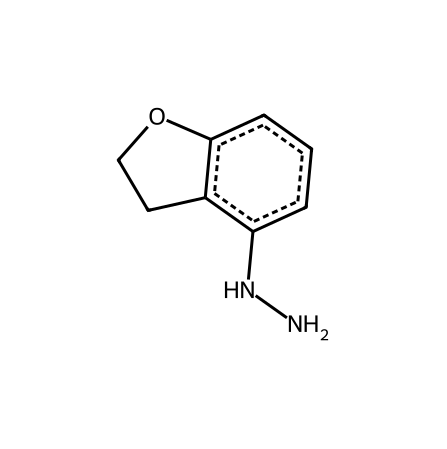 NNc1cccc2c1CCO2